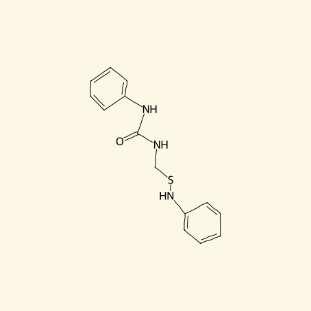 O=C(NCSNc1ccccc1)Nc1ccccc1